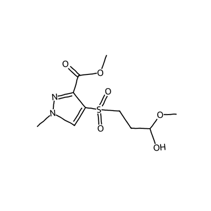 COC(=O)c1nn(C)cc1S(=O)(=O)CCC(O)OC